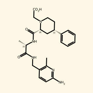 Cc1nc(N)ccc1CNC(=O)[C@H](C)NC(=O)[C@H]1C[C@@H](c2ccccc2)CCN1CC(=O)O